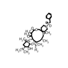 CO[C@]1(C)C[C@@H](C)CN(C)C2(CCN(S(=O)(=O)Cc3ccccc3)CC2)COC(=O)C(C)(C)C(=O)[C@H](C)[C@H]1O[C@@H]1O[C@H](C)C[C@H](N(C)C)[C@H]1O